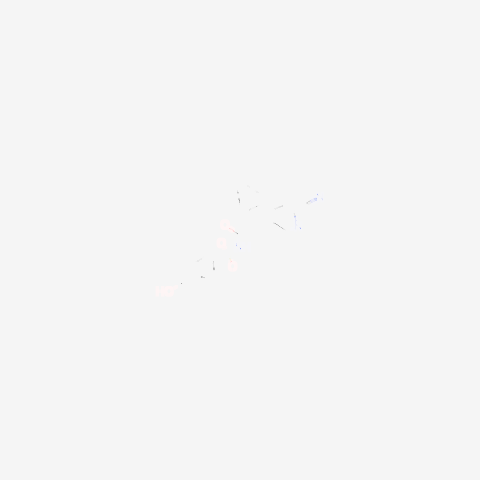 Cc1cc(C(C)(C)O)ccc1S(=O)(=O)NC(=O)Cc1c(-c2ccnc(C#N)c2)ccc2c1CCC2